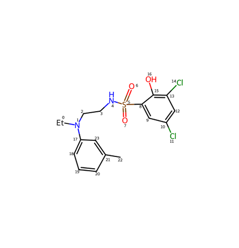 CCN(CCNS(=O)(=O)c1cc(Cl)cc(Cl)c1O)c1cccc(C)c1